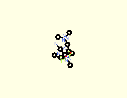 N#Cc1cc(-n2c3ccccc3c3ccc(-c4nc(-c5ccccc5)nc(-c5ccccc5)n4)cc32)c(-c2cc(C(F)(F)F)cc(C(F)(F)F)c2)c(-n2c3ccccc3c3ccc(-c4nc(-c5ccccc5)nc(-c5ccccc5)n4)cc32)c1